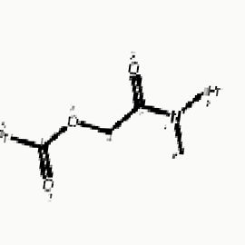 CC(C)C(=O)OCC(=O)N(C)C(C)C